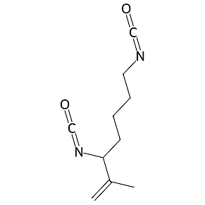 C=C(C)C(CCCCN=C=O)N=C=O